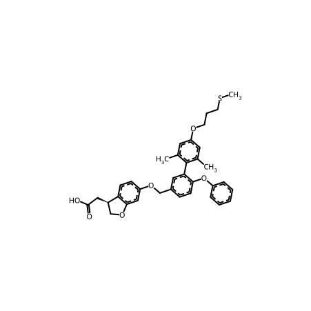 CSCCCOc1cc(C)c(-c2cc(COc3ccc4c(c3)OC[C@H]4CC(=O)O)ccc2Oc2ccccc2)c(C)c1